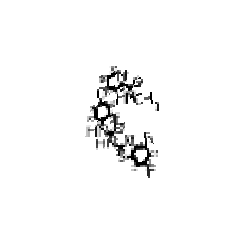 CNC(=O)c1cc(Oc2ccc(NC(=O)Nc3nc4c(F)cc(F)cc4s3)c(F)c2)ccn1